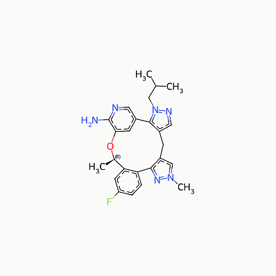 CC(C)Cn1ncc2c1-c1cnc(N)c(c1)O[C@H](C)c1cc(F)ccc1-c1nn(C)cc1C2